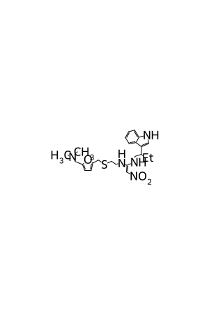 CCC(CN/C(=C\[N+](=O)[O-])NCCSCc1ccc(CN(C)C)o1)c1c[nH]c2ccccc12